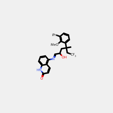 COc1c(C(C)C)cccc1C(C)(CC(O)C=Nc1cccc2[nH]c(=O)ccc12)CC(F)(F)F